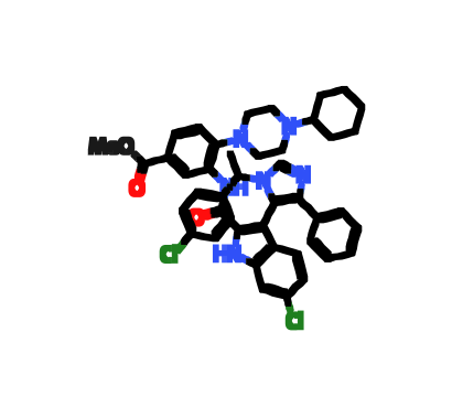 COC(=O)c1ccc(N2CCN(C3CCCCC3)CC2)c(NC(=O)c2[nH]c3cc(Cl)ccc3c2-c2c(-c3ccccc3)ncn2C(C)c2ccc(Cl)cc2)c1